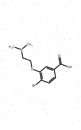 CN(C)CCOc1cc(C(=O)O)ccc1Br